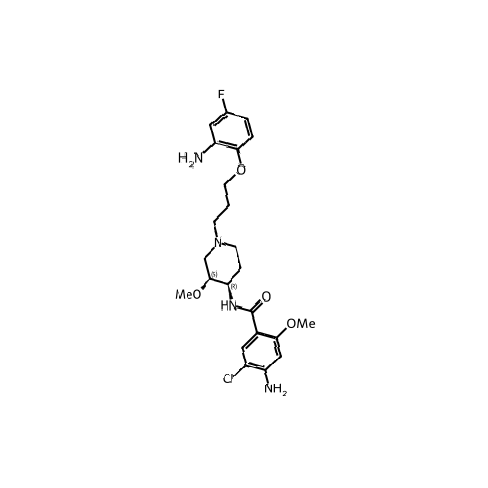 COc1cc(N)c(Cl)cc1C(=O)N[C@@H]1CCN(CCCOc2ccc(F)cc2N)C[C@@H]1OC